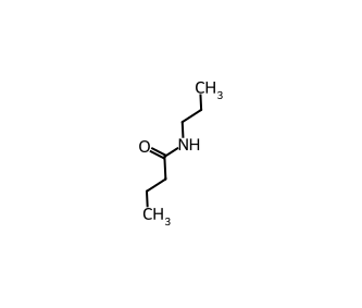 CCCNC(=O)CCC